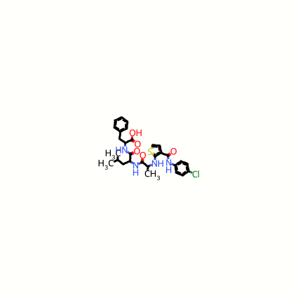 CC(C)CC(NC(=O)C(C)Nc1sccc1C(=O)Nc1ccc(Cl)cc1)C(=O)NC(Cc1ccccc1)C(=O)O